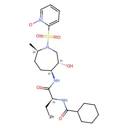 CC(C)C[C@H](NC(=O)C1CCCCC1)C(=O)N[C@H]1CC[C@@H](C)N(S(=O)(=O)c2cccc[n+]2[O-])C[C@@H]1O